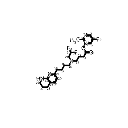 Cc1ncc(F)c[n+]1OC(=O)CCCN(CCCCc1ccc2c(n1)NCCC2)CC(F)F